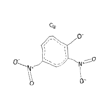 O=[N+]([O-])c1ccc([O-])c([N+](=O)[O-])c1.[Cu]